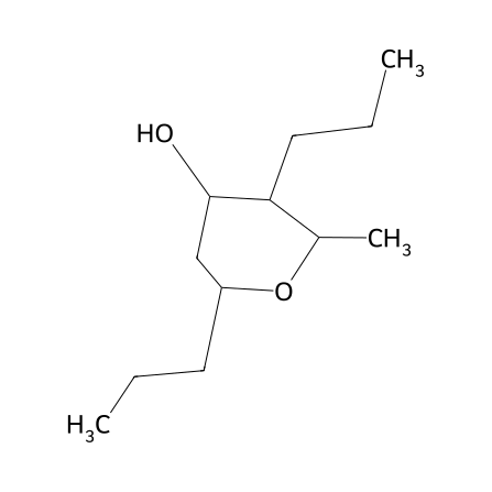 CCCC1CC(O)C(CCC)C(C)O1